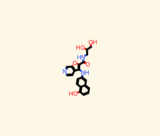 O=C(NCC(O)CO)c1oc2cnccc2c1Nc1ccc2c(O)cccc2c1